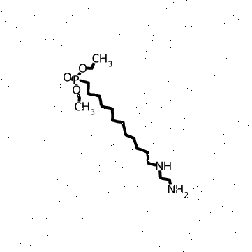 CCOP(=O)(CCCCCCCCCCCCNCCN)OCC